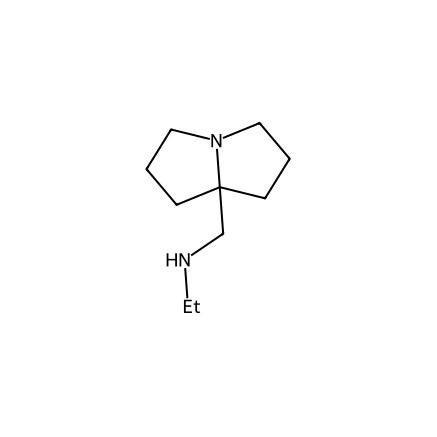 CCNCC12CCCN1CCC2